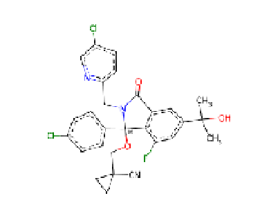 CC(C)(O)c1cc(F)c2c(c1)C(=O)N(Cc1ccc(Cl)cn1)[C@@]2(OCC1(C#N)CC1)c1ccc(Cl)cc1